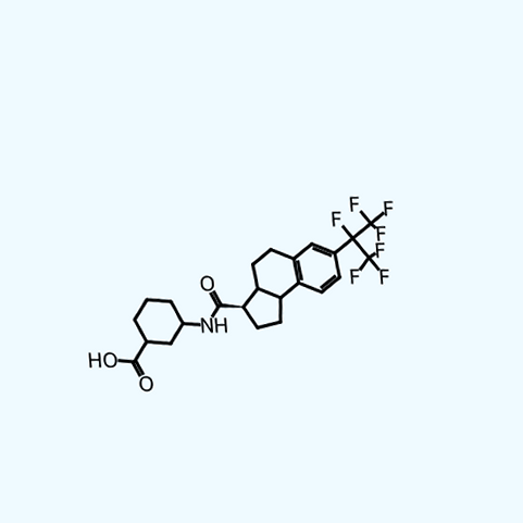 O=C(O)C1CCCC(NC(=O)[C@@H]2CCC3c4ccc(C(F)(C(F)(F)F)C(F)(F)F)cc4CCC32)C1